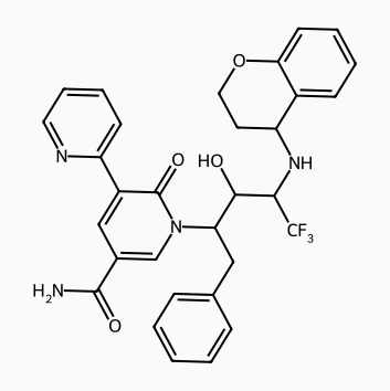 NC(=O)c1cc(-c2ccccn2)c(=O)n(C(Cc2ccccc2)C(O)C(NC2CCOc3ccccc32)C(F)(F)F)c1